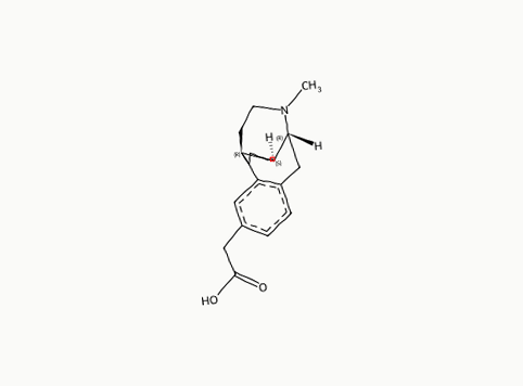 CN1CC[C@]23CCCC[C@@H]2[C@H]1Cc1ccc(CC(=O)O)cc13